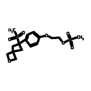 CS(=O)(=O)OCCOc1ccc(C2(S(C)(=O)=O)CC3(COC3)C2)cc1